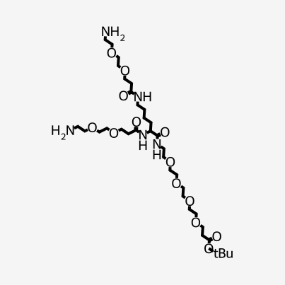 CC(C)(C)OC(=O)CCOCCOCCOCCOCCNC(=O)C(CCCCNC(=O)CCOCCOCCN)NC(=O)CCOCCOCCN